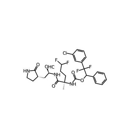 C[C@](CCC(F)F)(NC(=O)OC(c1ccccc1)C(F)(F)c1cccc(Cl)c1)C(=O)N[C@H](C=O)C[C@@H]1CCNC1=O